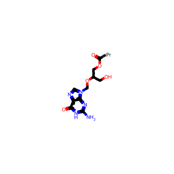 CC(C)C(=O)OCC(CO)OCn1cnc2c(=O)[nH]c(N)nc21